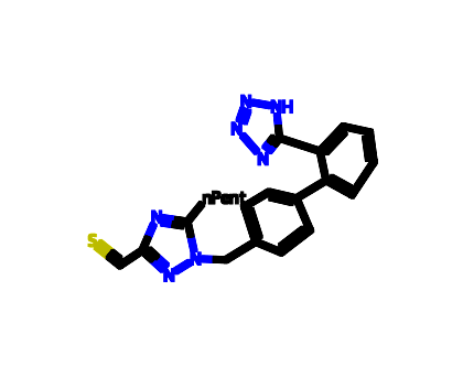 CCCCCc1nc(C=S)nn1Cc1ccc(-c2ccccc2-c2nnn[nH]2)cc1